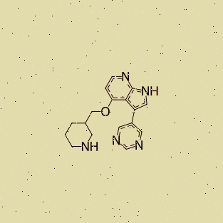 c1ncc(-c2c[nH]c3nccc(OCC4CCCNC4)c23)cn1